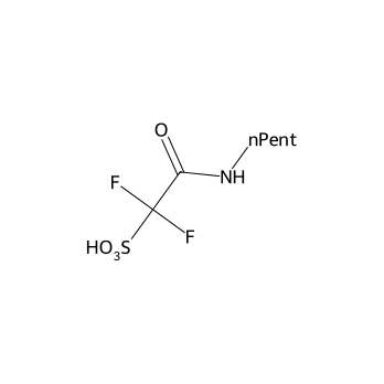 CCCCCNC(=O)C(F)(F)S(=O)(=O)O